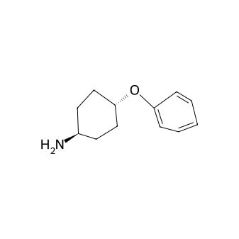 N[C@H]1CC[C@H](Oc2ccccc2)CC1